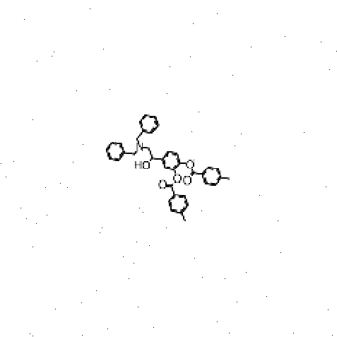 Cc1ccc(C(=O)Oc2ccc(C(O)CN(Cc3ccccc3)Cc3ccccc3)cc2OC(=O)c2ccc(C)cc2)cc1